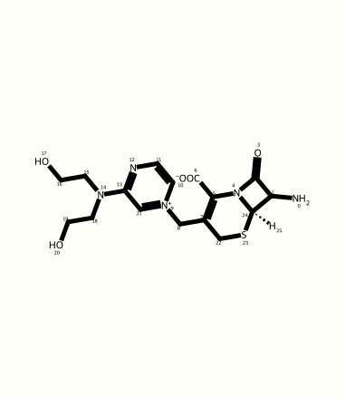 NC1C(=O)N2C(C(=O)[O-])=C(C[n+]3ccnc(N(CCO)CCO)c3)CS[C@H]12